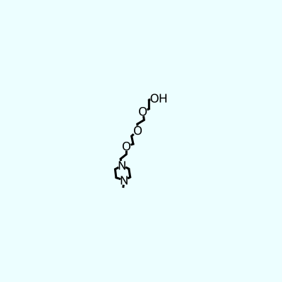 CN1CCN(CCOCCOCCOCCO)CC1